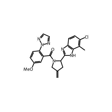 C=C1CC(c2nc3ccc(Cl)c(C)c3[nH]2)N(C(=O)c2cc(OC)ccc2-n2nccn2)C1